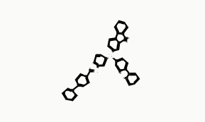 CC1(C)c2ccccc2-c2ccc(N(c3ccc4oc(-c5ccc(-c6ccccc6)cc5)nc4c3)c3ccc4c(c3)oc3ccccc34)cc21